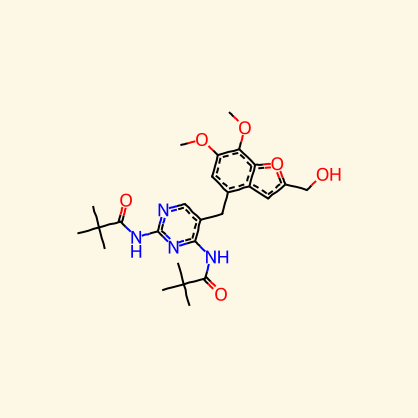 COc1cc(Cc2cnc(NC(=O)C(C)(C)C)nc2NC(=O)C(C)(C)C)c2cc(CO)oc2c1OC